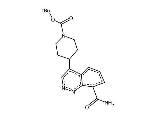 CC(C)(C)OC(=O)N1CCC(c2cnnc3c(C(N)=O)cccc23)CC1